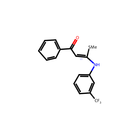 CS/C(=C\C(=O)c1ccccc1)Nc1cccc(C(F)(F)F)c1